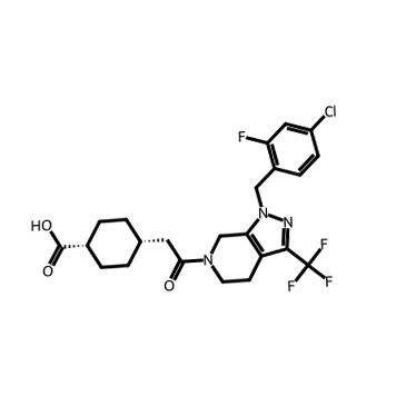 O=C(C[C@H]1CC[C@@H](C(=O)O)CC1)N1CCc2c(C(F)(F)F)nn(Cc3ccc(Cl)cc3F)c2C1